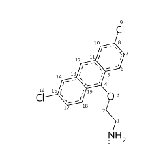 NCCOc1c2ccc(Cl)cc2cc2cc(Cl)ccc12